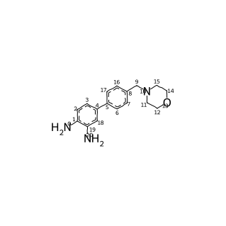 Nc1ccc(-c2ccc(CN3CCOCC3)cc2)cc1N